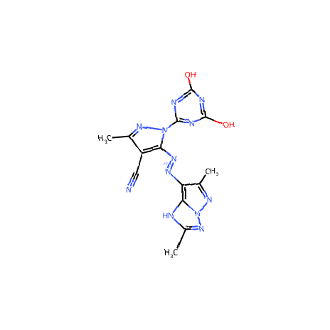 Cc1nn2nc(C)c(/N=N/c3c(C#N)c(C)nn3-c3nc(O)nc(O)n3)c2[nH]1